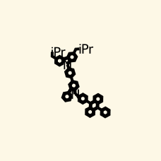 CC(C)Cc1ccc2c(c1)c1cc(CC(C)C)ccc1n2-c1ccc(-c2ccc3c(c2)c2ccccc2n3-c2ccc(-c3c4ccccc4c(-c4ccccc4)c4ccccc34)cc2)cc1